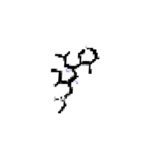 CCNC/C(=C/C(=C/C(C)C)c1cnccc1C)C(C)CC